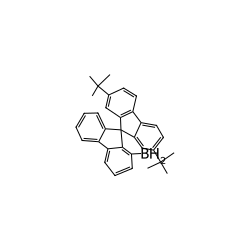 Bc1cccc2c1C1(c3cc(C(C)(C)C)ccc3-c3ccc(C(C)(C)C)cc31)c1ccccc1-2